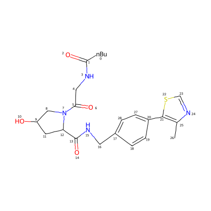 CCCCC(=O)NCC(=O)N1CC(O)CC1C(=O)NCc1ccc(-c2scnc2C)cc1